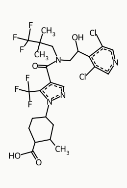 CC1CC(n2ncc(C(=O)N(CC(O)c3c(Cl)cncc3Cl)CC(C)(C)C(F)(F)F)c2C(F)(F)F)CCC1C(=O)O